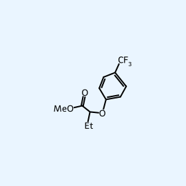 CCC(Oc1ccc(C(F)(F)F)cc1)C(=O)OC